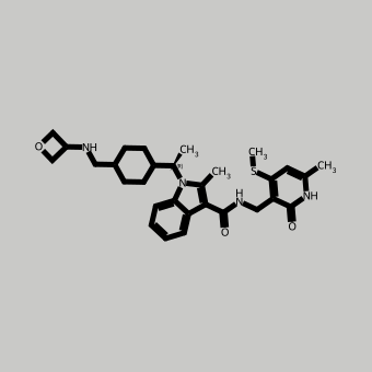 CSc1cc(C)[nH]c(=O)c1CNC(=O)c1c(C)n([C@H](C)C2CCC(CNC3COC3)CC2)c2ccccc12